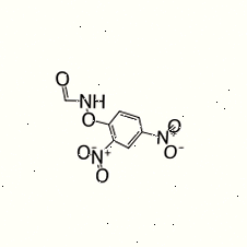 O=CNOc1ccc([N+](=O)[O-])cc1[N+](=O)[O-]